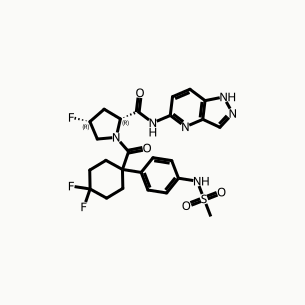 CS(=O)(=O)Nc1ccc(C2(C(=O)N3C[C@H](F)C[C@@H]3C(=O)Nc3ccc4[nH]ncc4n3)CCC(F)(F)CC2)cc1